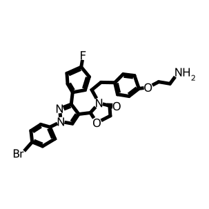 NCCOc1ccc(CCN2C(=O)COC2c2cn(-c3ccc(Br)cc3)nc2-c2ccc(F)cc2)cc1